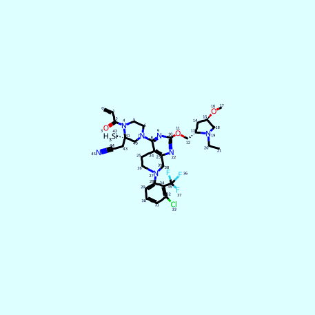 C=CC(=O)N1CCN(c2nc(OC[C@@H]3C[C@@H](OC)CN3CC)nc3c2CCN(c2cccc(Cl)c2C(F)(F)F)C3)C[C@@]1([SiH3])CC#N